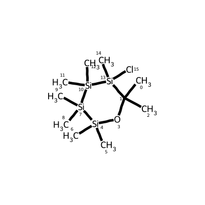 CC1(C)O[Si](C)(C)[Si](C)(C)[Si](C)(C)[Si]1(C)Cl